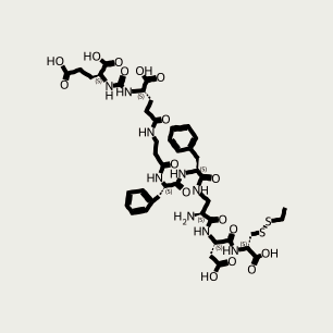 CCSSC[C@@H](NC(=O)[C@H](CC(=O)O)NC(=O)[C@@H](N)CNC(=O)[C@H](Cc1ccccc1)NC(=O)[C@H](Cc1ccccc1)NC(=O)CCNC(=O)CC[C@H](NC(=O)N[C@@H](CCC(=O)O)C(=O)O)C(=O)O)C(=O)O